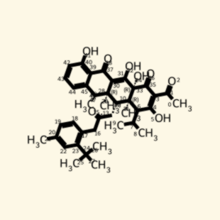 CC(=O)C1=C(O)C(C(C)C)[C@@]2(C)[C@H](CC(=O)Cc3ccc(C)cc3C(C)(C)C)[C@]3(C)C(=C(O)[C@@]2(O)C1=O)C(=O)c1c(O)cccc1[C@H]3C